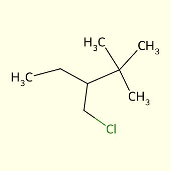 CCC(CCl)C(C)(C)C